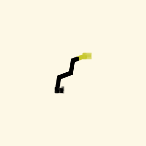 SCC[CH2][Sn]